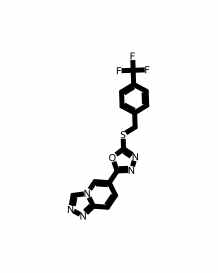 FC(F)(F)c1ccc(CSc2nnc(-c3ccc4nncn4c3)o2)cc1